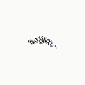 C=C(C(=O)Nc1ccc(/C=C\C(F)=C/C)nc1)c1cc(-c2cncc(CN3CCC(F)(F)C3)c2)ccc1C